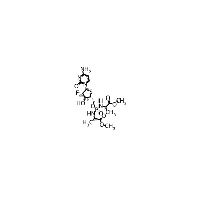 COC(=O)[C@H](C)NP(=O)(N[C@@H](C)C(=O)OC)OC[C@H]1S[C@@H](n2ccc(N)nc2=O)[C@@H](F)[C@@H]1O